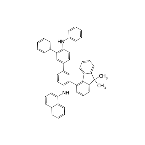 CC1(C)c2ccccc2-c2c(-c3cc(-c4ccc(Nc5ccccc5)c(-c5ccccc5)c4)ccc3Nc3cccc4ccccc34)cccc21